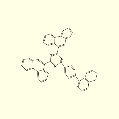 C1=Cc2c(ccnc2-c2ccc(-c3nc(-c4cc5ccccc5c5ccccc45)nc(-c4cc5ccccc5c5ccccc45)n3)cc2)CC1